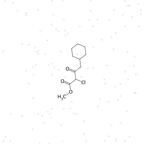 COC(=O)C(Cl)C(=O)CC1CCCCC1